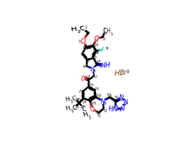 Br.CCOc1cc2c(c(F)c1OCC)C(=N)N(CC(=O)c1cc3c(c(C(C)(C)C)c1)OCCN3Cc1nnn[nH]1)C2